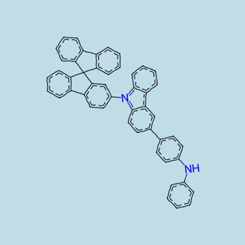 c1ccc(Nc2ccc(-c3ccc4c(c3)c3ccccc3n4-c3ccc4c(c3)C3(c5ccccc5-c5ccccc53)c3ccccc3-4)cc2)cc1